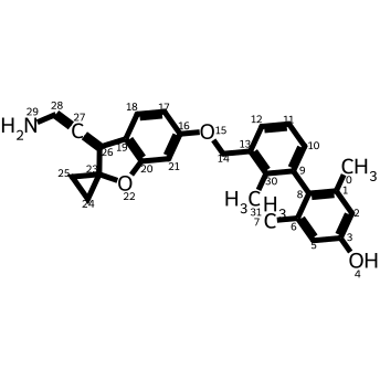 Cc1cc(O)cc(C)c1-c1cccc(COc2ccc3c(c2)OC2(CC2)C3=C=CN)c1C